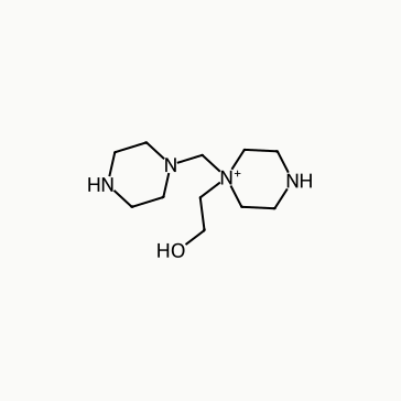 OCC[N+]1(CN2CCNCC2)CCNCC1